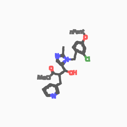 CCCCCOc1ccc(Cn2c(C(O)C(Cc3cccnc3)C(=O)OC)cnc2C)c(Cl)c1